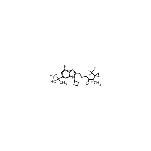 C[C@H](C(=O)CCCc1nc2c(F)cc(C(C)(C)O)cc2n1C1CCC1)C1(C(F)(F)F)CC1